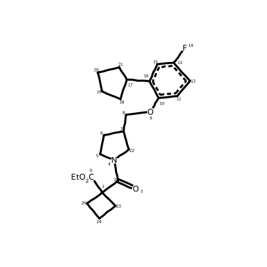 CCOC(=O)C1(C(=O)N2CCC(COc3ccc(F)cc3C3CCCC3)C2)CCC1